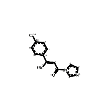 CC(C)(C)C(=CC(=O)n1ccnc1)c1ccc(Cl)cc1